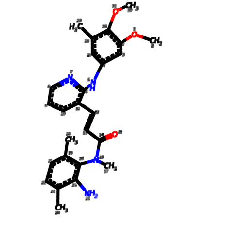 COc1cc(Nc2ncccc2/C=C/C(=O)N(C)c2c(C)ccc(C)c2N)cc(C)c1OC